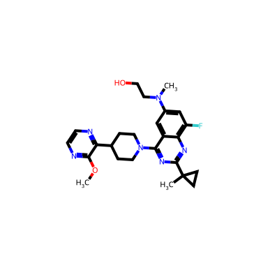 COc1nccnc1C1CCN(c2nc(C3(C)CC3)nc3c(F)cc(N(C)CCO)cc23)CC1